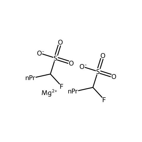 CCCC(F)S(=O)(=O)[O-].CCCC(F)S(=O)(=O)[O-].[Mg+2]